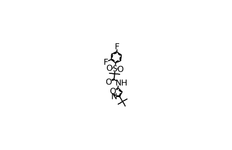 CC(C)(C)c1cc(NC(=O)C(C)(C)S(=O)(=O)c2ccc(F)cc2F)on1